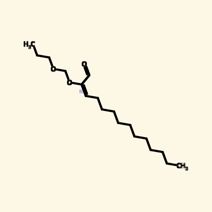 CCCCCCCCCCC/C=C(\C=O)OCOCCC